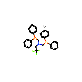 FC(F)(F)CN(CP(c1ccccc1)c1ccccc1)CP(c1ccccc1)c1ccccc1.[Pd]